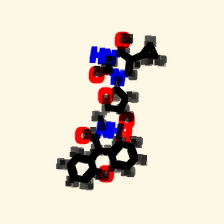 O=C(NC[C@@H]1O[C@H](n2cc(C3CC3)c(=O)[nH]c2=O)CC1O)C1c2ccccc2Oc2ccccc21